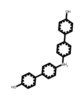 Oc1ccc(-c2ccc([SiH2]c3ccc(-c4ccc(O)cc4)cc3)cc2)cc1